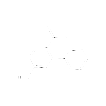 O=C(O)c1ccc(C(O)=S)c(-c2ccccc2)c1